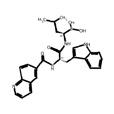 CC(C)C[C@H](NC(=O)[C@H](Cc1c[nH]c2ccccc12)NC(=O)c1ccc2ncccc2c1)B(O)O